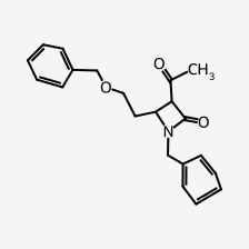 CC(=O)C1C(=O)N(Cc2ccccc2)C1CCOCc1ccccc1